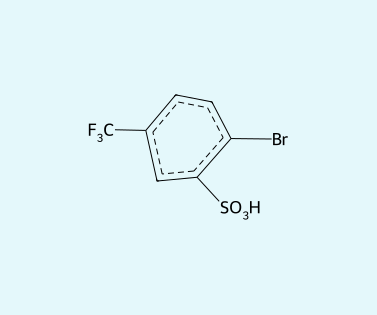 O=S(=O)(O)c1cc(C(F)(F)F)ccc1Br